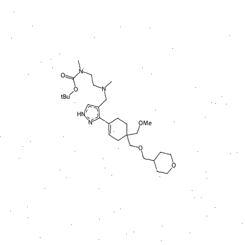 COCC1(COCC2CCOCC2)CC=C(c2n[nH]cc2CN(C)CCN(C)C(=O)OC(C)(C)C)CC1